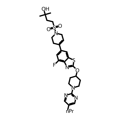 CCCc1cnc(N2CCC(Oc3nc4c(F)cc(C5=CCN(S(=O)(=O)CCC(C)(C)O)CC5)cc4s3)CC2)nc1